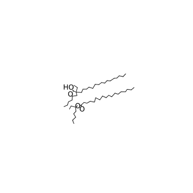 CCCCCCCCCCCCCCCCC(CC)(CCCCCC)C(=O)O.CCCCCCCCCCCCCCCCCC(=O)OC(CC)CCCCC